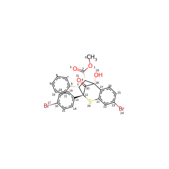 COC(=O)[C@H]1[C@@H](c2ccccc2)[C@@]2(c3ccc(Br)cc3)Sc3cc(Br)ccc3[C@@]1(O)C2=O